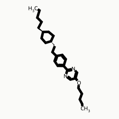 CCCCCOc1cnc(-c2ccc(CC[C@H]3CC[C@H](CCCCC)CC3)cc2)nc1